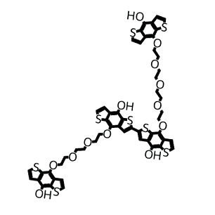 Oc1c2ccsc2c(OCCOCCOCCOCCOc2c3ccsc3c(O)c3cc(-c4cc5c(OCCOCCOCCOc6c7ccsc7c(O)c7ccsc67)c6sccc6c(O)c5s4)sc23)c2ccsc12